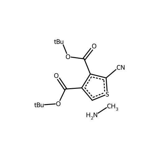 CC(C)(C)OC(=O)c1csc(C#N)c1C(=O)OC(C)(C)C.CN